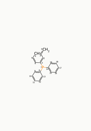 C=C/C=C(\C=C/C)P(c1ccccc1)c1ccccc1